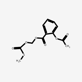 CSC(=O)OCOC(=O)c1ccccc1OC(C)=O